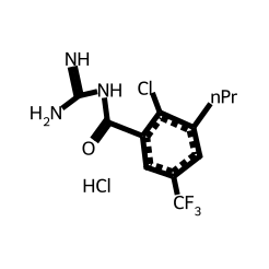 CCCc1cc(C(F)(F)F)cc(C(=O)NC(=N)N)c1Cl.Cl